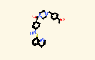 CC(=O)c1ccc(CN2CCN(C(=O)c3ccc(NSc4cccc5cccnc45)cc3)CC2)cc1